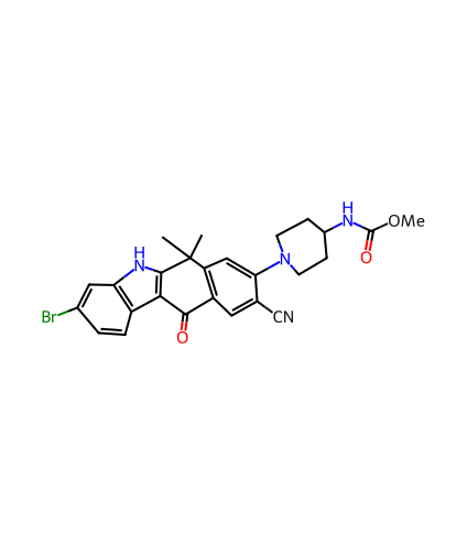 COC(=O)NC1CCN(c2cc3c(cc2C#N)C(=O)c2c([nH]c4cc(Br)ccc24)C3(C)C)CC1